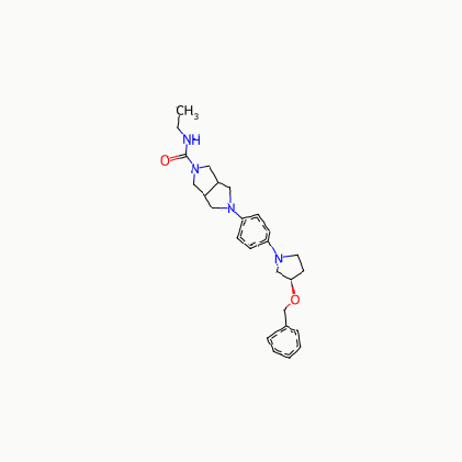 CCNC(=O)N1CC2CN(c3ccc(N4CC[C@@H](OCc5ccccc5)C4)cc3)CC2C1